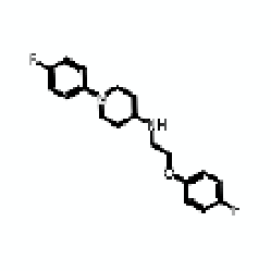 Fc1ccc(OCCNC2CCN(c3ccc(F)cc3)CC2)cc1